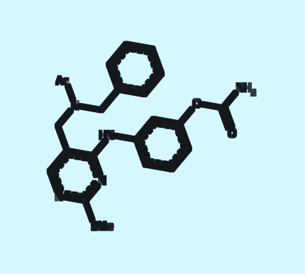 CSc1ncc(CN(Cc2ccccc2)C(C)=O)c(Nc2cccc(OC(N)=O)c2)n1